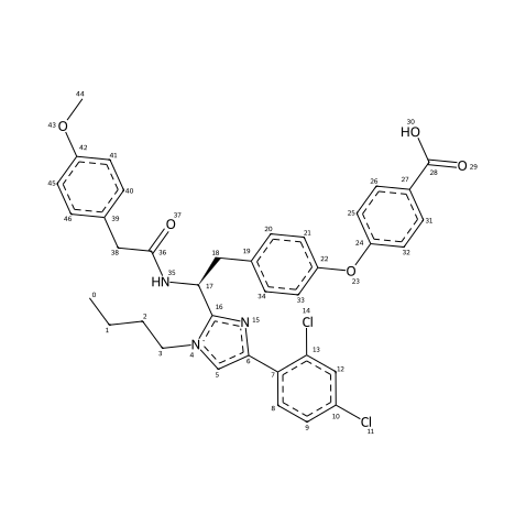 CCCCn1cc(-c2ccc(Cl)cc2Cl)nc1[C@H](Cc1ccc(Oc2ccc(C(=O)O)cc2)cc1)NC(=O)Cc1ccc(OC)cc1